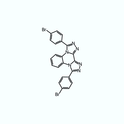 Brc1ccc(-c2nnc3c4nnc(-c5ccc(Br)cc5)n4c4ccccc4n23)cc1